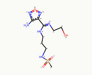 CS(=O)(=O)NCCCN/C(=N\CCO)c1nonc1N